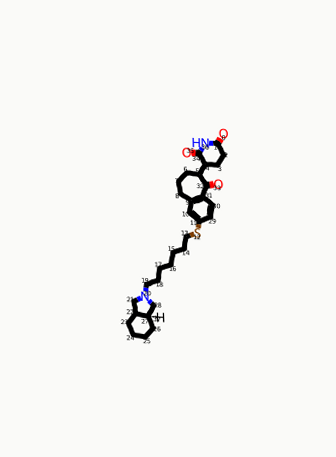 O=C1CCC(C2CCCc3cc(SCCCCCCCN4CC5CCCC[C@@H]5C4)ccc3C2=O)C(=O)N1